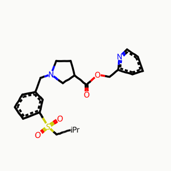 CC(C)CS(=O)(=O)c1cccc(CN2CCC(C(=O)OCc3ccccn3)C2)c1